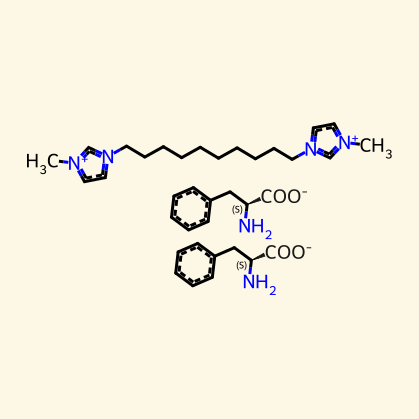 C[n+]1ccn(CCCCCCCCCCn2cc[n+](C)c2)c1.N[C@@H](Cc1ccccc1)C(=O)[O-].N[C@@H](Cc1ccccc1)C(=O)[O-]